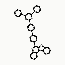 c1ccc(-c2cc(-c3ccccc3)nc(-c3ccc(-c4ccc(-c5nc6ccccc6c6c5oc5ccccc56)cc4)cc3)n2)cc1